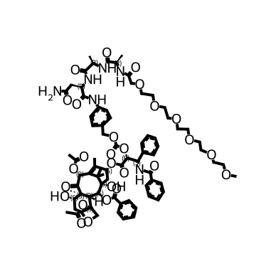 COCCOCCOCCOCCOCCOCC(=O)N[C@H](C)C(=O)N[C@H](C)C(=O)N[C@H](CC(N)=O)C(=O)Nc1ccc(COC(=O)O[C@@H](C(=O)O[C@H]2C[C@@]3(O)[C@@H](OC(=O)c4ccccc4)[C@H]4[C@](C)(C(=O)[C@H](OC(C)=O)C(=C2C)C3(C)C)[C@@H](O)CC2OC[C@]24OC(C)=O)[C@@H](NC(=O)c2ccccc2)c2ccccc2)cc1